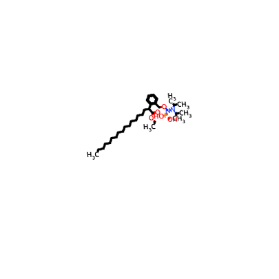 CCCCCCCCCCCCCCCCC(C(=O)OCC)c1ccccc1CON(N(C(C)C)C(C)C)P(O)O